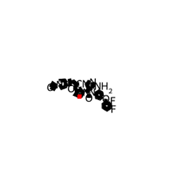 CC(C)(/C=C(/C#N)C(=O)N1CCC[C@@H](n2c(=O)n(-c3ccc(Oc4cccc(F)c4F)cc3)c3c(N)nccc32)C1)N1CCN(C2COC2)CC1